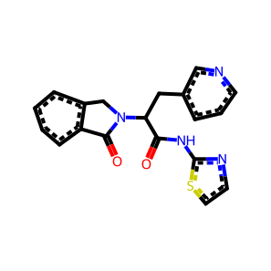 O=C(Nc1nccs1)C(Cc1cccnc1)N1Cc2ccccc2C1=O